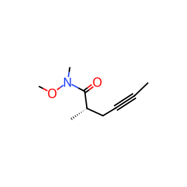 CC#CC[C@H](C)C(=O)N(C)OC